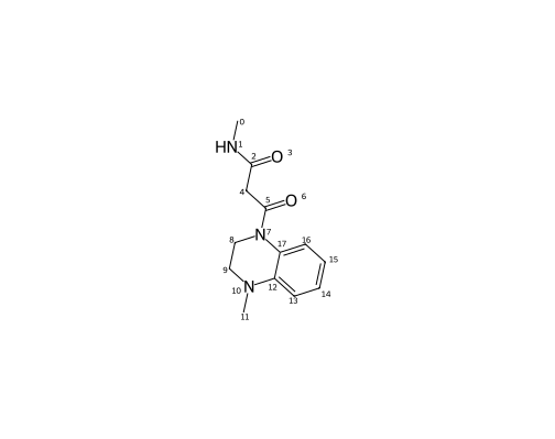 CNC(=O)CC(=O)N1CCN(C)c2ccccc21